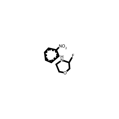 FC1COCCN1.O=[N+]([O-])c1ccccc1